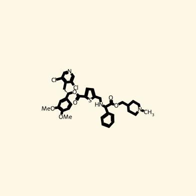 COc1ccc([C@H](Cc2c(Cl)cncc2Cl)OC(=O)c2ccc(CNC(C(=O)OCC3CCN(C)CC3)c3ccccc3)s2)cc1OC